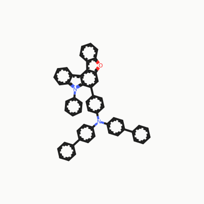 c1ccc(-c2ccc(N(c3ccc(-c4ccccc4)cc3)c3ccc(-c4cc5oc6ccccc6c5c5c6ccccc6n(-c6ccccc6)c45)cc3)cc2)cc1